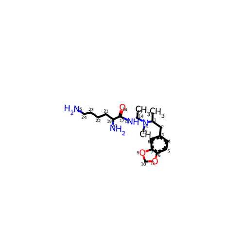 CC(Cc1ccc2c(c1)OCO2)N(C)C(C)NC(=O)C(N)CCCCN